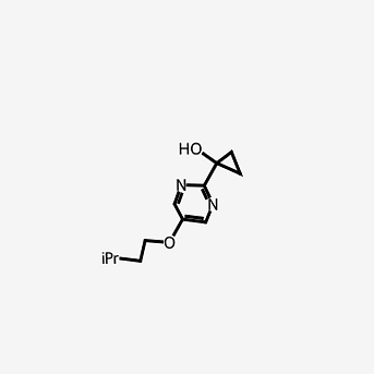 CC(C)CCOc1cnc(C2(O)CC2)nc1